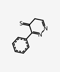 S=C1CC=NN=C1c1ccccc1